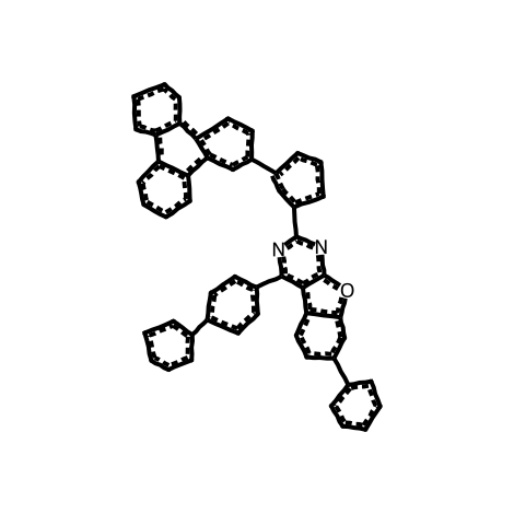 c1ccc(-c2ccc(-c3nc(-c4cccc(-c5ccc6c7ccccc7c7ccccc7c6c5)c4)nc4oc5cc(-c6ccccc6)ccc5c34)cc2)cc1